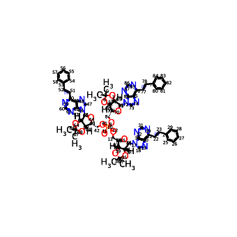 CC1(C)O[C@@H]2[C@H](O1)[C@@H](COP(=O)(OC[C@H]1O[C@@H](n3cnc4c(/C=C/c5ccccc5)ncnc43)[C@@H]3OC(C)(C)O[C@@H]31)OC[C@H]1O[C@@H](n3cnc4c(/C=C/c5ccccc5)ncnc43)[C@@H]3OC(C)(C)O[C@@H]31)O[C@H]2n1cnc2c(/C=C/c3ccccc3)ncnc21